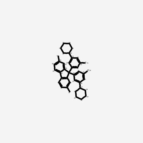 Cc1ccc2c(c1)C(c1cc(F)cc(C3CCCCC3)c1)(c1cc(F)cc(C3CCCCC3)c1)c1cc(C)ccc1-2